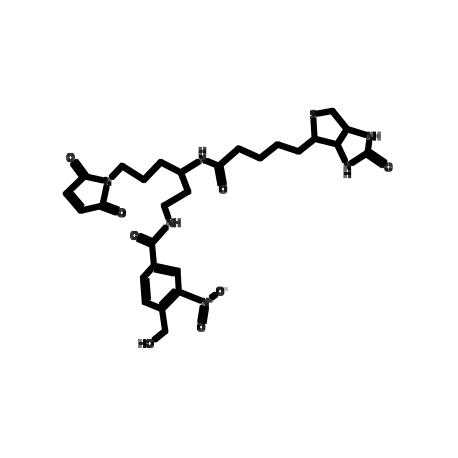 O=C(CCCCC1SCC2NC(=O)NC21)NC(CCCN1C(=O)C=CC1=O)CCNC(=O)c1ccc(CO)c([N+](=O)[O-])c1